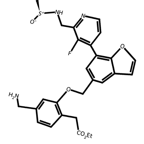 CCOC(=O)Cc1ccc(CN)cc1OCc1cc(-c2ccnc(CN[S@@+]([O-])C(C)(C)C)c2F)c2occc2c1